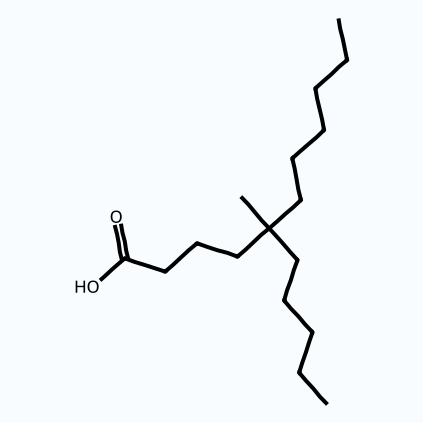 CCCCCCC(C)(CCCCC)CCCC(=O)O